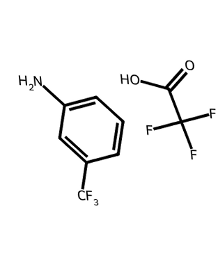 Nc1cccc(C(F)(F)F)c1.O=C(O)C(F)(F)F